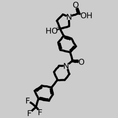 O=C(O)N1CC[C@](O)(c2ccc(C(=O)N3CCC(c4ccc(C(F)(F)F)cc4)CC3)cc2)C1